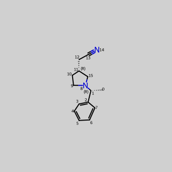 C[C@H](c1ccccc1)N1CC[C@H](CC#N)C1